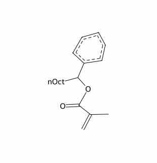 C=C(C)C(=O)OC(CCCCCCCC)c1ccccc1